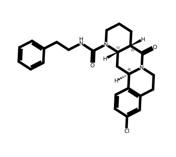 O=C1[C@H]2CCCN(C(=O)NCCc3ccccc3)[C@H]2C[C@@H]2c3ccc(Cl)cc3CCN12